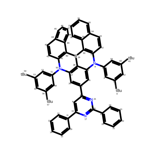 CC(C)(C)c1cc(N2c3cc(-c4cc(-c5ccccc5)nc(-c5ccccc5)n4)cc4c3B(c3c2ccc2ccccc32)c2c(ccc3ccccc23)N4c2cc(C(C)(C)C)cc(C(C)(C)C)c2)cc(C(C)(C)C)c1